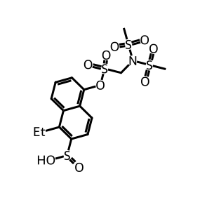 CCc1c(S(=O)O)ccc2c(OS(=O)(=O)CN(S(C)(=O)=O)S(C)(=O)=O)cccc12